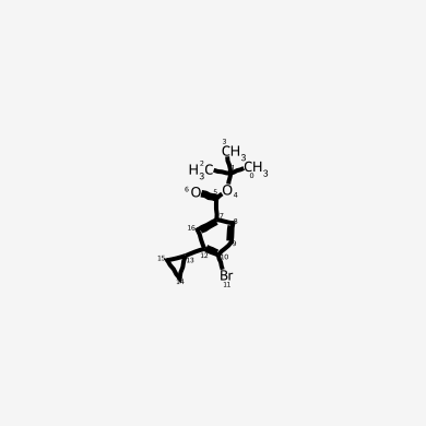 CC(C)(C)OC(=O)c1ccc(Br)c(C2CC2)c1